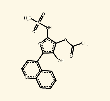 CC(=O)Oc1c(NS(C)(=O)=O)oc(-c2ccnc3ccccc23)c1O